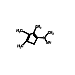 CC[CH2][In]([CH3])[C]1=C(C)C(C)=C(C)C1